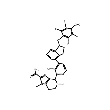 CN1CCc2c(nc(C(N)=O)n2C)C1c1cccc(-c2cccc3c2CCC3Oc2c(F)c(F)c(C=O)c(F)c2F)c1Cl